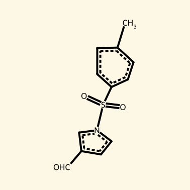 Cc1ccc(S(=O)(=O)n2ccc(C=O)c2)cc1